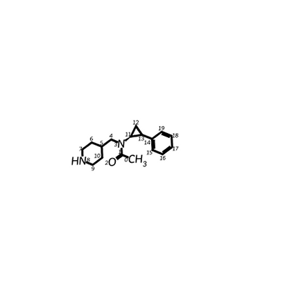 CC(=O)N(CC1CCNCC1)[C@H]1CC1c1ccccc1